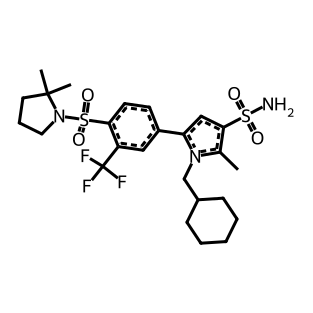 Cc1c(S(N)(=O)=O)cc(-c2ccc(S(=O)(=O)N3CCCC3(C)C)c(C(F)(F)F)c2)n1CC1CCCCC1